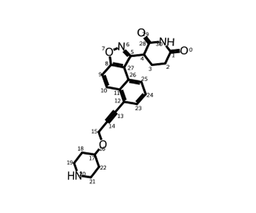 O=C1CCC(c2noc3ccc4c(C#CCOC5CCNCC5)cccc4c23)C(=O)N1